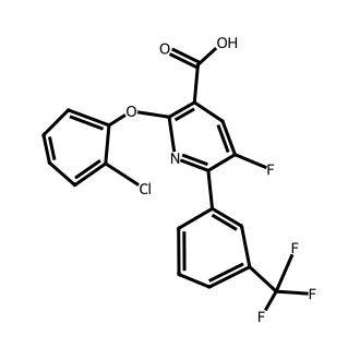 O=C(O)c1cc(F)c(-c2cccc(C(F)(F)F)c2)nc1Oc1ccccc1Cl